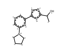 CC(O)c1nnc(-c2cncc(N3CCCC3)n2)s1